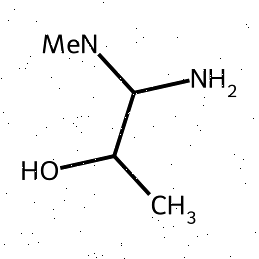 CNC(N)C(C)O